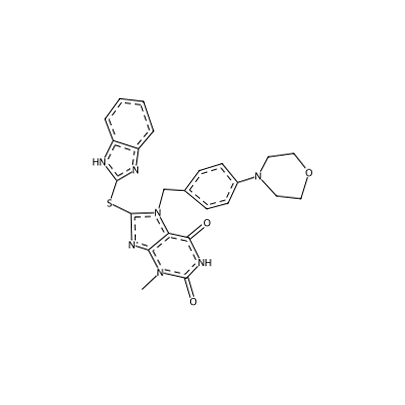 Cn1c(=O)[nH]c(=O)c2c1nc(Sc1nc3ccccc3[nH]1)n2Cc1ccc(N2CCOCC2)cc1